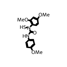 COc1ccc(NC(=O)N(S)c2ccc(OC)cc2OC)cc1